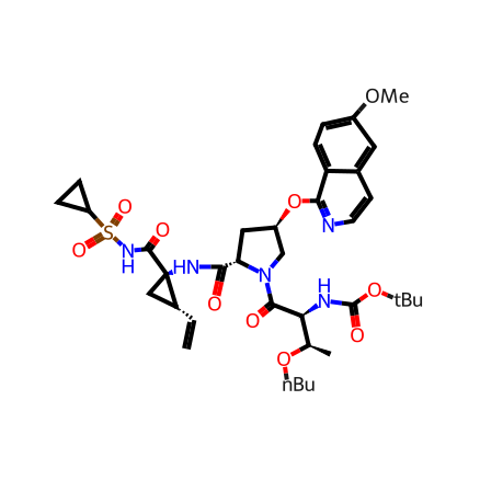 C=C[C@@H]1C[C@]1(NC(=O)[C@@H]1C[C@@H](Oc2nccc3cc(OC)ccc23)CN1C(=O)[C@@H](NC(=O)OC(C)(C)C)[C@@H](C)OCCCC)C(=O)NS(=O)(=O)C1CC1